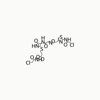 O=C(C=NOCc1csc(NC(=O)CCl)n1)N[C@@H]1C(=O)N[C@@H]1SCCC(=O)ONC(=O)CCl